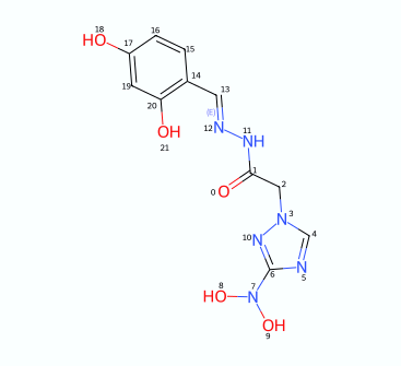 O=C(Cn1cnc(N(O)O)n1)N/N=C/c1ccc(O)cc1O